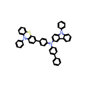 c1ccc(-c2ccc(N(c3ccc(-c4ccc5c(c4)Sc4ccccc4N5c4ccccc4)cc3)c3ccc4c(c3)c3ccccc3n4-c3ccccc3)cc2)cc1